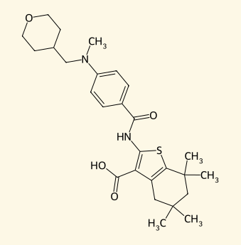 CN(CC1CCOCC1)c1ccc(C(=O)Nc2sc3c(c2C(=O)O)CC(C)(C)CC3(C)C)cc1